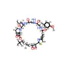 CC[C@H](C)[C@@H]1NC(=O)[C@H](C)NC(=O)[C@H](Cc2ccc(OC)cc2)NC(=O)CC[C@H]2CSC(=N2)[C@@H](C)[C@@H](O)C[C@H](C)C[C@@H](C(C)(C)C)OC(=O)[C@@H]2CCCN2C1=O